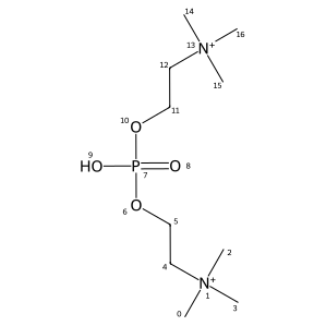 C[N+](C)(C)CCOP(=O)(O)OCC[N+](C)(C)C